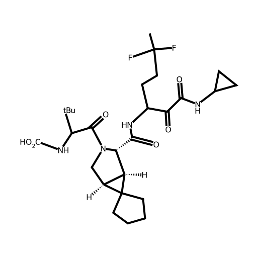 CC(F)(F)CCC(NC(=O)[C@@H]1[C@@H]2[C@H](CN1C(=O)C(NC(=O)O)C(C)(C)C)C21CCCC1)C(=O)C(=O)NC1CC1